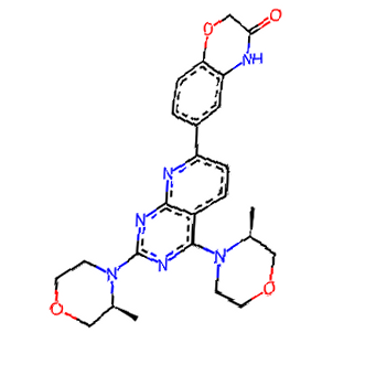 C[C@H]1COCCN1c1nc(N2CCOC[C@@H]2C)c2ccc(-c3ccc4c(c3)NC(=O)CO4)nc2n1